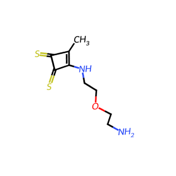 Cc1c(NCCOCCN)c(=S)c1=S